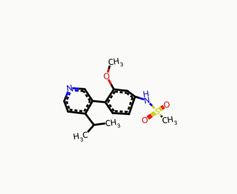 COc1cc(NS(C)(=O)=O)ccc1-c1cnccc1C(C)C